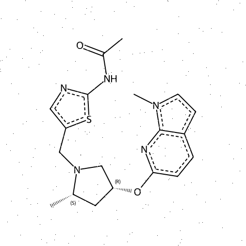 CC(=O)Nc1ncc(CN2C[C@H](Oc3ccc4ccn(C)c4n3)C[C@@H]2C)s1